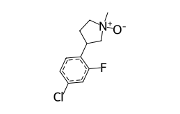 C[N+]1([O-])CCC(c2ccc(Cl)cc2F)C1